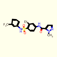 CCc1cc(NC(=O)c2ccnn2C)ccc1S(=O)(=O)Nc1cccc(C(F)(F)F)c1